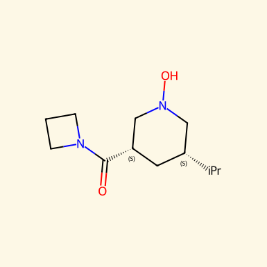 CC(C)[C@@H]1C[C@H](C(=O)N2CCC2)CN(O)C1